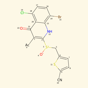 CC(=O)c1c([S+]([O-])Cc2ccc(C#N)s2)[nH]c2c(Br)ccc(Cl)c2c1=O